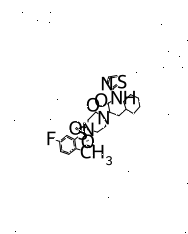 Cc1ccc(F)cc1S(=O)(=O)N1CCN(C(CC2CCCCC2)C(=O)Nc2nccs2)C(=O)C1